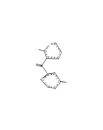 O=C(c1cccc(Cl)c1)c1cccnc1Br